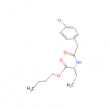 CCCCOC(=O)C(CC)NC(=O)Cc1ccc(Cl)cc1